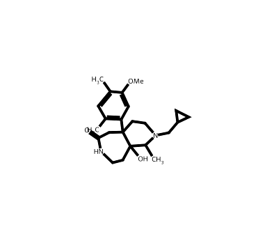 COc1cc(C23CCN(CC4CC4)C(C)C2(O)CCNC(=O)C3)c(C)cc1C